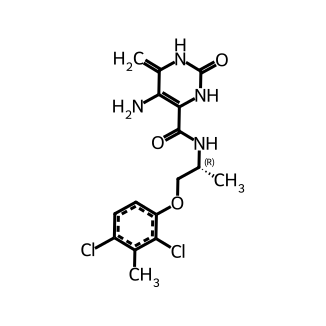 C=C1NC(=O)NC(C(=O)N[C@H](C)COc2ccc(Cl)c(C)c2Cl)=C1N